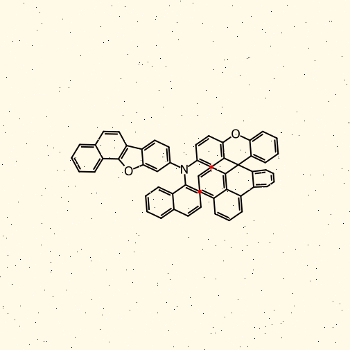 c1ccc2c(c1)Oc1ccc(N(c3ccc4c(c3)oc3c5ccccc5ccc43)c3cccc4ccccc34)cc1C21c2ccccc2-c2cccc3cccc1c23